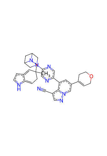 CC1(CN2C3CC2CN(c2cnc(-c4cc(C5=CCOCC5)cn5ncc(C#N)c45)cn2)C3)C=c2cc[nH]c2=CC1